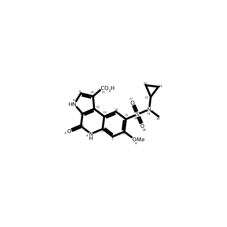 COc1cc2[nH]c(=O)c3[nH]cc(C(=O)O)c3c2cc1S(=O)(=O)N(C)C1CC1